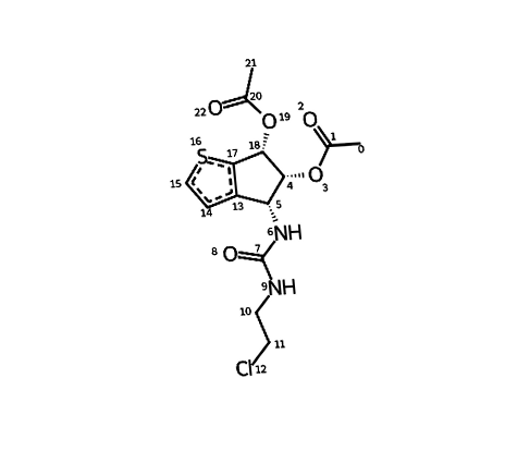 CC(=O)O[C@@H]1[C@H](NC(=O)NCCCl)c2ccsc2[C@@H]1OC(C)=O